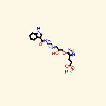 COC(=O)CCc1nsnc1OCC(O)CNCCNC(=O)c1c[nH]c2ccccc12